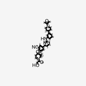 N#Cc1cc(-c2ccnc(Nc3cccc(C4CCN(C5COC5)CC4)c3)n2)ccc1OC1CCN(C(=O)CO)CC1(F)F